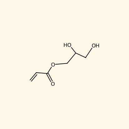 C=CC(=O)OCC(O)CO